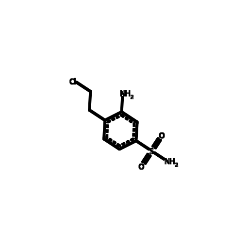 Nc1cc(S(N)(=O)=O)ccc1CCCl